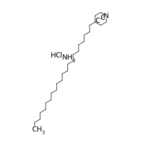 CCCCCCCCCCCCCCCCCCCCCCC12CCN(CC1)CC2.Cl.N